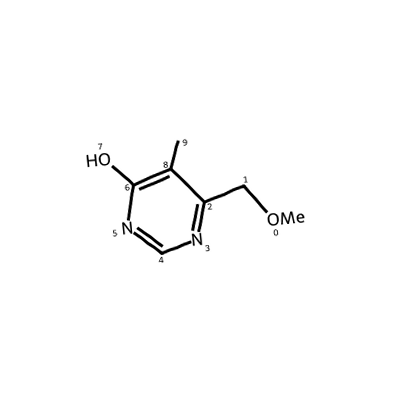 COCc1ncnc(O)c1C